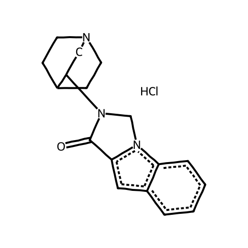 Cl.O=C1c2cc3ccccc3n2CN1C1CN2CCC1CC2